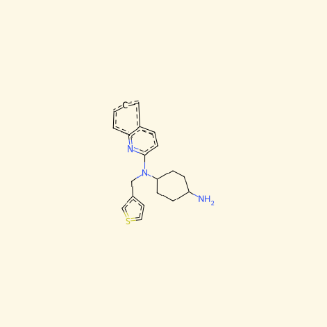 NC1CCC(N(Cc2ccsc2)c2ccc3ccccc3n2)CC1